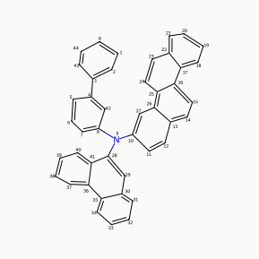 c1ccc(-c2cccc(N(c3ccc4ccc5c6ccccc6ccc5c4c3)c3cc4ccccc4c4ccccc34)c2)cc1